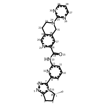 C[C@@H]1CCc2nnc(-c3cccc(NC(=O)c4cc5c(cn4)CCN(c4ncccn4)C5)n3)n21